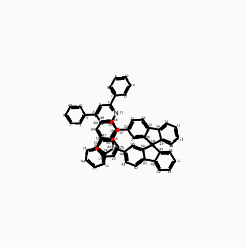 c1ccc(-c2cc(-c3ccccc3)nc(N(c3ccccc3)c3ccc4c(c3)C3(c5ccccc5-4)c4ccccc4-c4ccc(-n5c6ccccc6c6ccccc65)cc43)n2)cc1